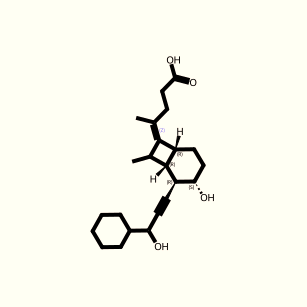 C/C(CCC(=O)O)=C1\C(C)[C@H]2[C@H](C#CC(O)C3CCCCC3)[C@@H](O)CC[C@@H]12